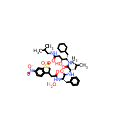 CC(C)CNC(=O)C[C@H](O)[C@H](CC1CCCCC1)NC(=O)[C@H](CC(C)C)NC(=O)[C@H](Cc1ccccc1)NC(=O)CC1CS(=O)(=O)c2cc([N+](=O)[O-])ccc21.O